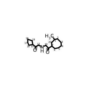 CC1CCCCCC(C(=O)CNCC(=O)C2CCCC2)C1